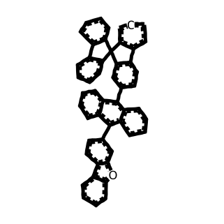 c1ccc2c(c1)-c1ccccc1C21c2ccccc2-c2ccc(-c3c4ccccc4c(-c4ccc5c(c4)oc4ccccc45)c4ccccc34)cc21